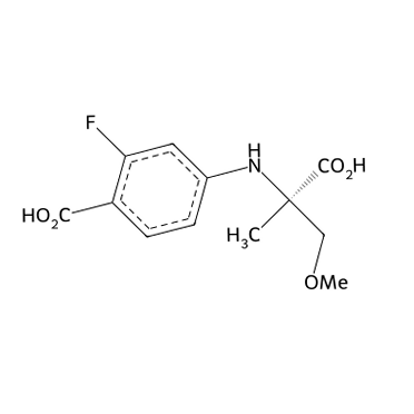 COC[C@@](C)(Nc1ccc(C(=O)O)c(F)c1)C(=O)O